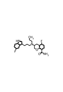 CCCN(CCCc1c[nH]c2ccc(F)cc12)C1COc2c(C(N)=O)ccc(F)c2C1